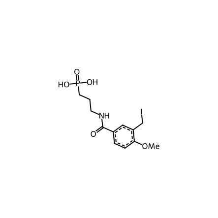 COc1ccc(C(=O)NCCCP(=O)(O)O)cc1CI